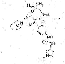 CCN1CC(C)(C)Oc2nc(N3CC4CCC(C3)O4)nc(-c3ccc(NC(=O)Nc4cnn(C)c4)cc3)c2C1=O